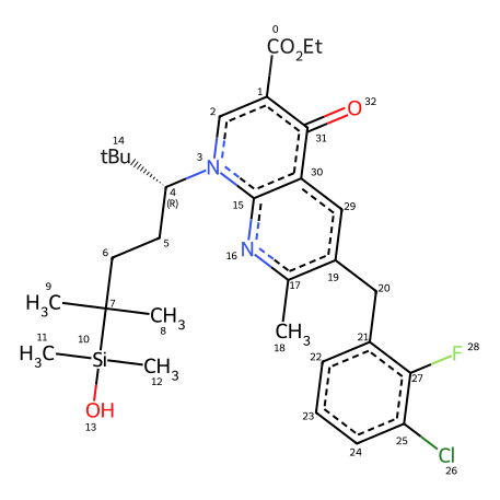 CCOC(=O)c1cn([C@H](CCC(C)(C)[Si](C)(C)O)C(C)(C)C)c2nc(C)c(Cc3cccc(Cl)c3F)cc2c1=O